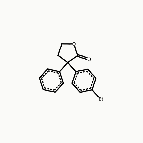 CCc1ccc(C2(c3ccccc3)CCOC2=O)cc1